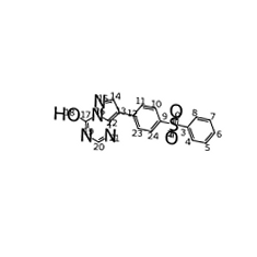 O=S(=O)(c1ccccc1)c1ccc(-c2cnn3c(O)ncnc23)cc1